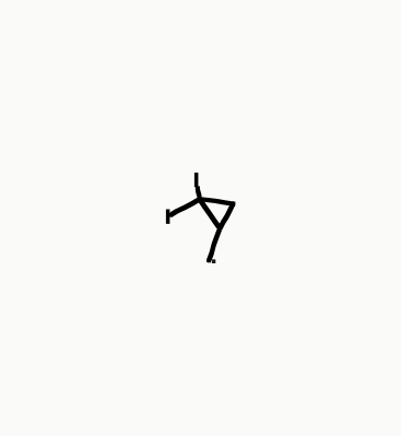 [CH2]C1CC1(I)I